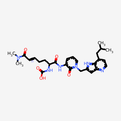 CC(C)Cc1ccnc2cc(Cn3cccc(NC(=O)C(CC/C=C/C(=O)N(C)C)NC(=O)O)c3=O)[nH]c12